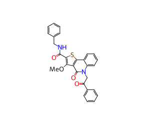 COc1c(C(=O)NCc2ccccc2)sc2c1c(=O)n(CC(=O)c1ccccc1)c1ccccc21